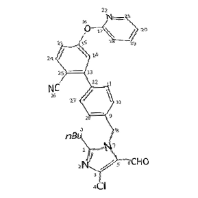 CCCCc1nc(Cl)c(C=O)n1Cc1ccc(-c2cc(Oc3ccccn3)ccc2C#N)cc1